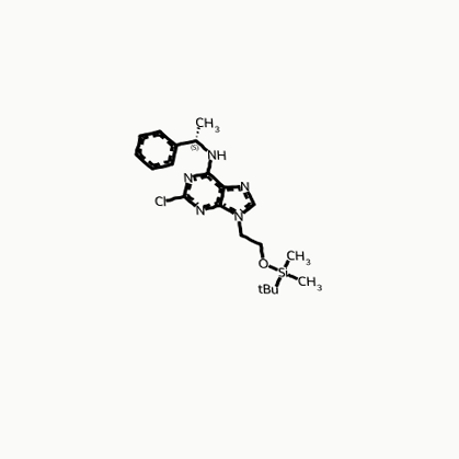 C[C@H](Nc1nc(Cl)nc2c1ncn2CCO[Si](C)(C)C(C)(C)C)c1ccccc1